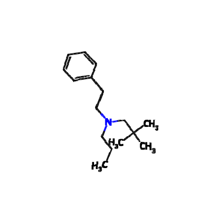 CCCN(CCc1ccccc1)CC(C)(C)C